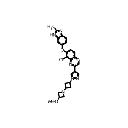 COC1CN(C2CC(n3cc(-c4cnc5ccc(Oc6ccc7nc(C)[nH]c7c6)c(Cl)c5n4)cn3)C2)C1